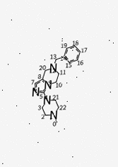 CN1CCN(c2ncc3n2CCN(Cc2ccccc2)C3)CC1